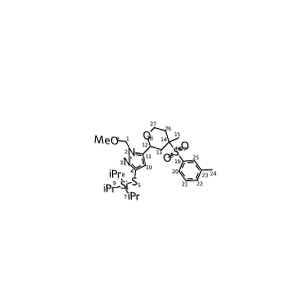 COCn1nc(S[Si](C(C)C)(C(C)C)C(C)C)cc1C1CC(C)(S(=O)(=O)c2cccc(C)c2)CCO1